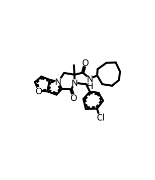 CC1(C(=O)NC2CCCCCCC2)Cn2c(cc3occc32)C(=O)N1Cc1ccc(Cl)cc1